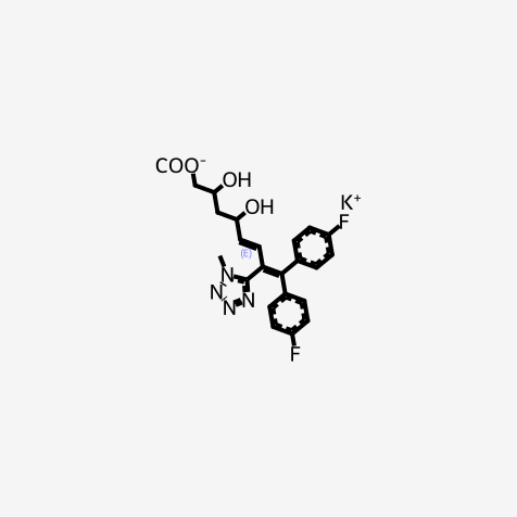 Cn1nnnc1C(/C=C/C(O)CC(O)CC(=O)[O-])=C(c1ccc(F)cc1)c1ccc(F)cc1.[K+]